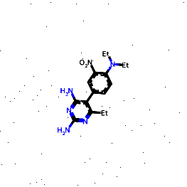 CCc1nc(N)nc(N)c1-c1ccc(N(CC)CC)c([N+](=O)[O-])c1